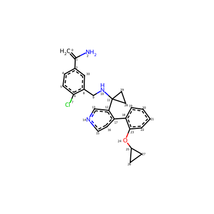 C=C(N)c1ccc(Cl)c(CNC2(c3cnccc3-c3ccccc3OC3CC3)CC2)c1